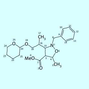 COC(=O)C1C(C)ON(Cc2ccccc2)C1C(C)COC1CCCCO1